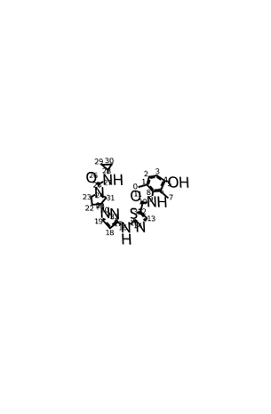 Cc1ccc(O)c(C)c1NC(=O)c1cnc(Nc2ccn([C@@H]3CCN(C(=O)NC4CC4)C3)n2)s1